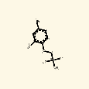 Cc1cc(C(C)C)ccc1OCC(C)(F)F